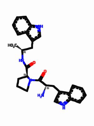 N[C@@H](Cc1c[nH]c2ccccc12)C(=O)N1CCC[C@H]1C(=O)N[C@@H](Cc1c[nH]c2ccccc12)C(=O)O